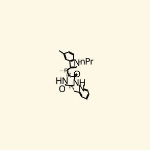 CCCn1cc([C@@H](C)[C@H]2NC(=O)[C@@H](Cc3ccccn3)NC2=O)c2cc(C)ccc21